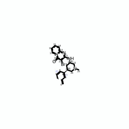 C=C/C=C(\C=C/C)[C@H]1C[C@@H](Nc2nc3ccccn3c(=O)c2Br)CN(C)C1